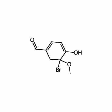 COC1(Br)CC(C=O)=CC=C1O